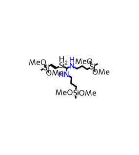 CO[Si](C)(C=C[SiH2]C(NCCC[Si](C)(OC)OC)NCCC[Si](C)(OC)OC)OC